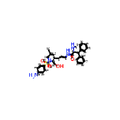 CN[C@H](C(=O)NCCCC[C@@H](CO)N(CC(C)C)S(=O)(=O)c1ccc(N)cc1)C(c1ccccc1)c1ccccc1